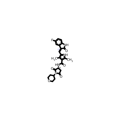 Cc1[nH]c(/C=C2\C(=O)Nc3ccc(F)cc32)c(C)c1C(=O)N[C@H]1CC(=O)N(C2CCOCC2)C1=O